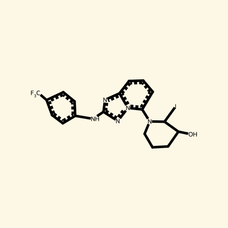 OC1CCCN(c2cccc3nc(Nc4ccc(C(F)(F)F)cc4)nn23)C1I